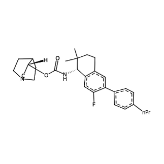 CCCc1ccc(-c2cc3c(cc2F)[C@H](NC(=O)O[C@@H]2CN4CCC2CC4)C(C)(C)CC3)cc1